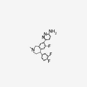 CN1CCC(c2ccc(F)c(F)c2)c2cc(F)c(-c3ccc(N)nn3)cc2C1